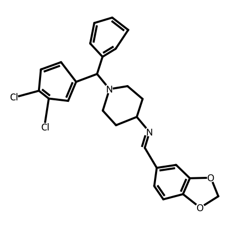 Clc1ccc(C(c2ccccc2)N2CCC(N=Cc3ccc4c(c3)OCO4)CC2)cc1Cl